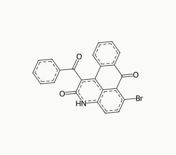 O=C(c1ccccc1)c1c2c3c(c(Br)ccc3[nH]c1=O)C(=O)c1ccccc1-2